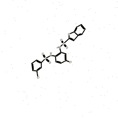 O=S(=O)(Nc1ccc(Cl)cc1NS(=O)(=O)c1cc2ccccc2o1)c1cccc(Cl)c1